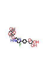 O[C@@H]1CO[C@H]2[C@@H]1OC[C@H]2Oc1cc2nc(-c3ccc([C@@H]4C[C@@H](O)[C@@H](O)CO4)cc3)c(F)cc2[nH]1